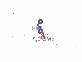 COC(=O)C(Cc1ccc2[nH]c(Cc3ccccc3)cc2c1)OCC(F)(F)F